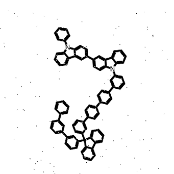 c1ccc(-c2cccc(-c3cccc(C4(c5cccc(-c6ccc(-c7ccc(-c8cccc(-n9c%10ccccc%10c%10cc(-c%11ccc%12c(c%11)c%11ccccc%11n%12-c%11ccccc%11)ccc%109)c8)cc7)cc6)c5)c5ccccc5-c5ccccc54)c3)c2)cc1